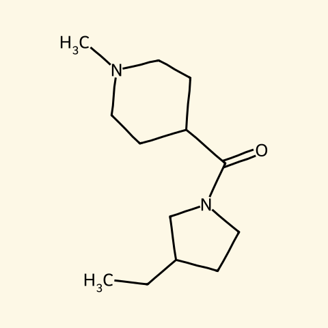 CCC1CCN(C(=O)C2CCN(C)CC2)C1